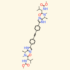 COC(=O)NC(C(=O)N(C)[C@@H](C)c1ncc(-c2ccc(C#Cc3ccc(-c4cnc([C@H](C)N(C)C(=O)[C@@H](NC(=O)OC)C(C)C)[nH]4)cc3)cc2)[nH]1)C(C)C